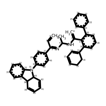 C=C/C(=N\C(C)NC(=C)c1c(C2=CC=CCC2)cccc1-c1ccccc1)c1ccc(N2c3ccccc3C3C=CC=CC32)cc1